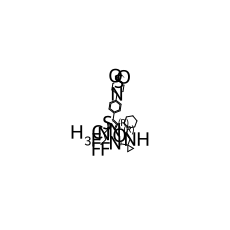 CN(CC(F)(F)F)c1nc([C@@H]2CCCC[C@H]2C(=O)NC2(C#N)CC2)c(-c2ccc(N3CCS(=O)(=O)CC3)cc2)s1